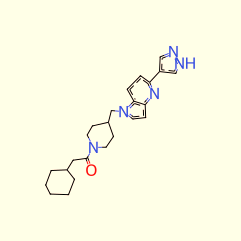 O=C(CC1CCCCC1)N1CCC(Cn2ccc3nc(-c4cn[nH]c4)ccc32)CC1